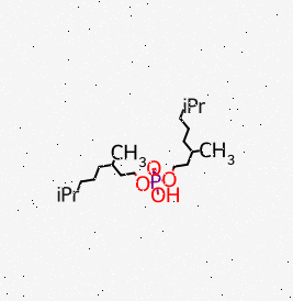 CC(C)CCCC(C)CCOP(=O)(O)OCCC(C)CCCC(C)C